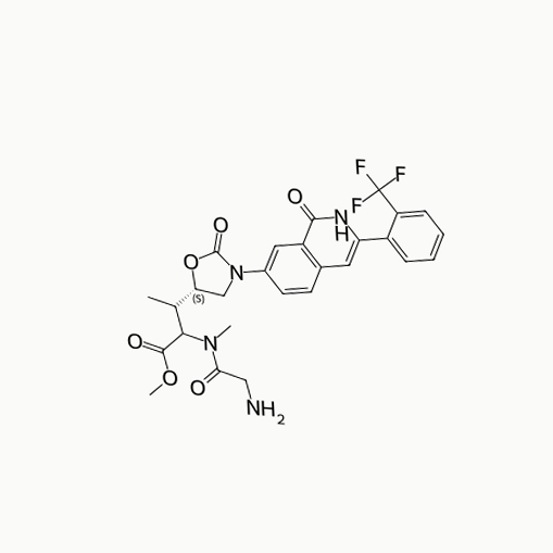 COC(=O)C(C(C)[C@H]1CN(c2ccc3cc(-c4ccccc4C(F)(F)F)[nH]c(=O)c3c2)C(=O)O1)N(C)C(=O)CN